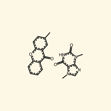 Cc1ccc2oc3ccccc3c(=O)c2c1.Cn1cnc2c1c(=O)[nH]c(=O)n2C